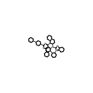 c1ccc(-c2ccc(-c3nc(-c4ccccc4)nc(-c4c(N5c6ccccc6-c6ccccc6-n6c5nc5ccccc56)ccc5ccccc45)n3)cc2)cc1